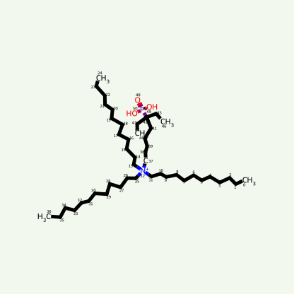 CCCCCCCCCCCC[N+](CCCCCCCCCCCC)(CCCCCCCCCCCC)CCCCCC(CC)(CC)P(=O)(O)O